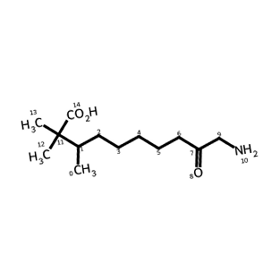 CC(CCCCCC(=O)CN)C(C)(C)C(=O)O